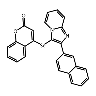 O=c1cc([Se]c2c(-c3ccc4ccccc4c3)nc3ccccn23)c2ccccc2o1